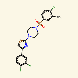 O=[N+]([O-])c1cc(S(=O)(=O)N2CCN(c3nc(-c4ccc(F)c(F)c4)cs3)CC2)ccc1Cl